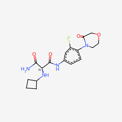 NC(=O)[C@H](NC1CCC1)C(=O)Nc1ccc(N2CCOCC2=O)c(F)c1